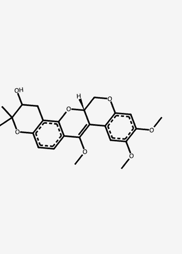 COC1=C2c3cc(OC)c(OC)cc3OC[C@H]2Oc2c1ccc1c2CC(O)C(C)(C)O1